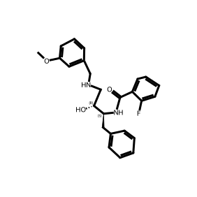 COc1cccc(CNC[C@@H](O)[C@H](Cc2ccccc2)NC(=O)c2ccccc2F)c1